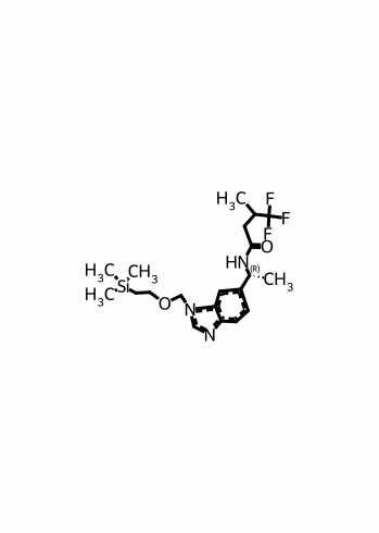 CC(CC(=O)N[C@H](C)c1ccc2ncn(COCC[Si](C)(C)C)c2c1)C(F)(F)F